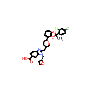 CC1(c2ccc(Cl)cc2F)Oc2cccc(C3CCC(Cc4nc5ccc(C(=O)O)cc5n4C[C@@H]4CCO4)CO3)c2O1